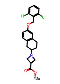 CC(C)(C)OC(=O)C1CN(C2CCc3cc(OCc4c(Cl)cccc4Cl)ccc3C2)C1